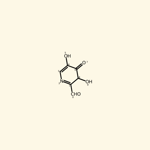 O=CC1=NC=C(O)C(=O)C1O